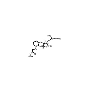 CCCCC[C@H](O)CC[C@@H]1[C@H]2Cc3cccc(OCC(=O)O[C@@H](C)CC)c3C[C@H]2C[C@H]1O